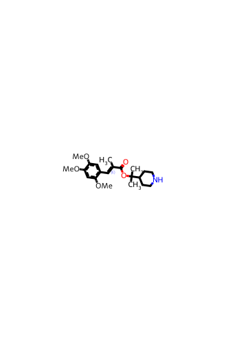 COc1cc(OC)c(OC)cc1/C=C(\C)C(=O)OC(C)(C)C1CCNCC1